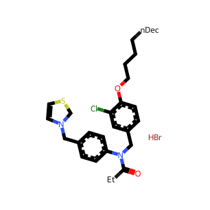 Br.CCCCCCCCCCCCCCOc1ccc(CN(C(=O)CC)c2ccc(CN3C=CSC3)cc2)cc1Cl